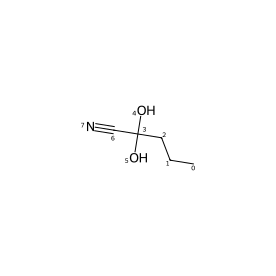 CCCC(O)(O)C#N